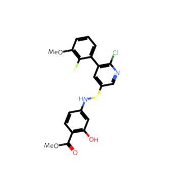 COC(=O)c1ccc(NSc2cnc(Cl)c(-c3cccc(OC)c3F)c2)cc1O